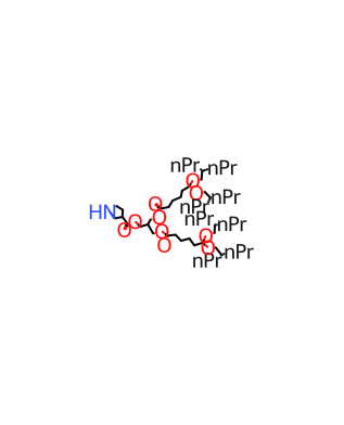 CCCC(CCC)COC(CCCCC(=O)OCC(COC(=O)CCCCC(OCC(CCC)CCC)OCC(CCC)CCC)COC(=O)C1CCNC1)OCC(CCC)CCC